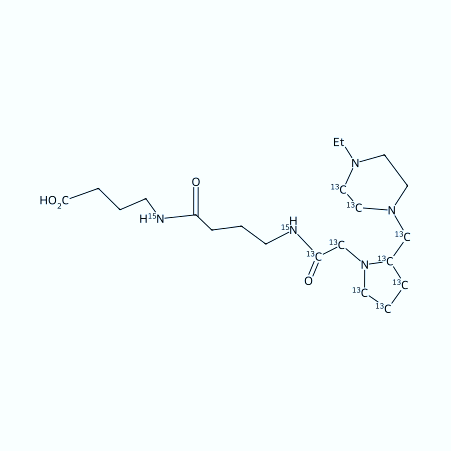 CCN1CCN([13CH2][13CH]2[13CH2][13CH2][13CH2]N2[13CH2][13C](=O)[15NH]CCCC(=O)[15NH]CCCC(=O)O)[13CH2][13CH2]1